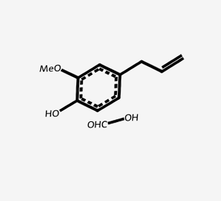 C=CCc1ccc(O)c(OC)c1.O=CO